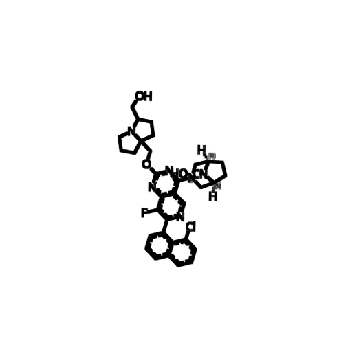 O=C(O)N1[C@@H]2CC[C@H]1CN(c1nc(OCC34CCCN3C(CO)CC4)nc3c(F)c(-c4cccc5cccc(Cl)c45)ncc13)C2